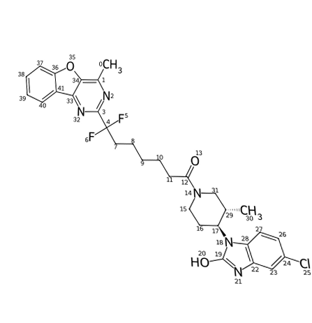 Cc1nc(C(F)(F)CCCCCC(=O)N2CC[C@H](n3c(O)nc4cc(Cl)ccc43)[C@@H](C)C2)nc2c1oc1ccccc12